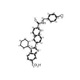 O=C(O)c1ccc2c(c1)nc(-c1ccc3nc(C(=O)NCc4ccc(Cl)cc4)ccc3c1)n2C1CCCCC1